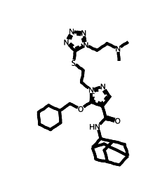 CN(C)CCn1nnnc1SCCn1ncc(C(=O)NC2C3CC4CC(C3)CC2C4)c1OCC1CCCCC1